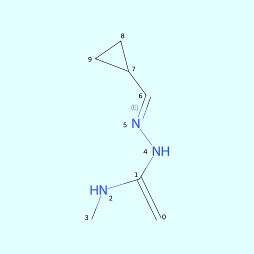 C=C(NC)N/N=C/C1CC1